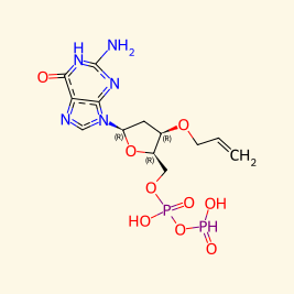 C=CCO[C@@H]1C[C@H](n2cnc3c(=O)[nH]c(N)nc32)O[C@@H]1COP(=O)(O)O[PH](=O)O